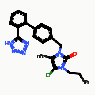 CCCc1c(Cl)n(CCC(C)C)c(=O)n1Cc1ccc(-c2ccccc2-c2nnn[nH]2)cc1